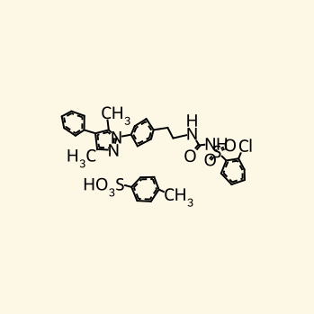 Cc1ccc(S(=O)(=O)O)cc1.Cc1nn(-c2ccc(CCNC(=O)NS(=O)(=O)c3ccccc3Cl)cc2)c(C)c1-c1ccccc1